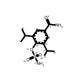 CC(C)c1cc(C(N)=O)cc(C(C)C)c1OS(N)(=O)=O